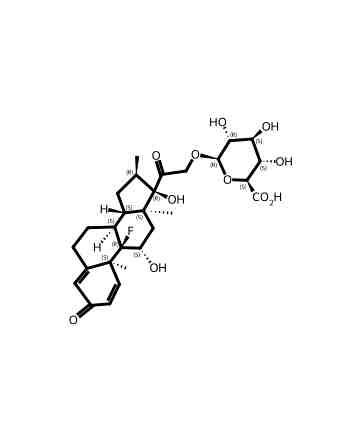 C[C@@H]1C[C@H]2[C@@H]3CCC4=CC(=O)C=C[C@]4(C)[C@@]3(F)[C@@H](O)C[C@]2(C)[C@@]1(O)C(=O)CO[C@@H]1O[C@H](C(=O)O)[C@@H](O)[C@H](O)[C@H]1O